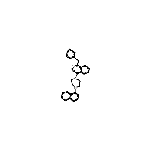 c1ccc(Cc2nnc(N3CCN(c4cccc5ccccc45)CC3)c3ccccc23)cc1